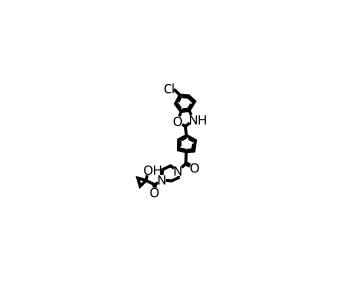 O=C(c1ccc(C2Nc3ccc(Cl)cc3O2)cc1)N1CCN(C(=O)C2(O)CC2)CC1